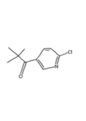 CC(C)(C)C(=O)c1ccc(Cl)nc1